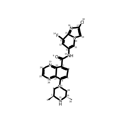 C[C@H]1CN(c2ccc(C(=O)Nc3cc(F)c4nc(Cl)cn4c3)c3nccnc23)C[C@H](C)N1